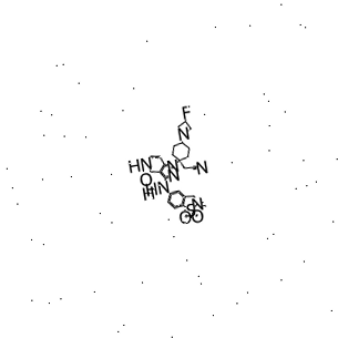 CN1Cc2cc(Nc3nn([C@]4(CC#N)CC[C@H](N5CC(F)C5)CC4)c4c3C(O)NC=C4)ccc2S1(=O)=O